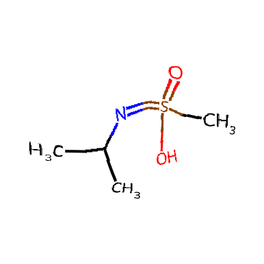 CC(C)N=S(C)(=O)O